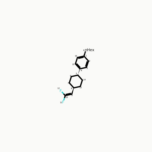 CCCCCCc1ccc([C@H]2CC[C@H](C=C(F)F)CC2)cc1